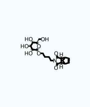 O=C1[C@@H]2C3C=CC(C3)[C@@H]2C(=O)N1CCCCO[C@@H]1O[C@H](CO)[C@@H](O)[C@H](O)[C@H]1O